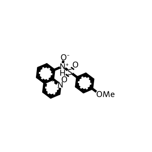 COc1ccc(S(=O)(=O)[NH+]([O-])c2cccc3cccnc23)cc1